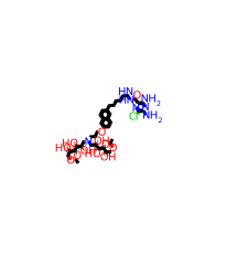 CC1OC[C@@H](O)[C@H]([C@H](O)[C@@H](O)CN(CCCOc2ccc3cc(CCCCCC(=N)NC(=O)c4nc(Cl)c(N)nc4N)ccc3c2)C[C@H](O)[C@@H](O)[C@@H]2OC(C)OC[C@H]2O)O1